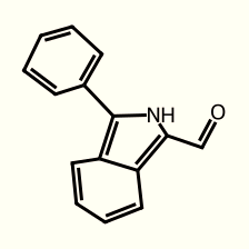 O=Cc1[nH]c(-c2ccccc2)c2ccccc12